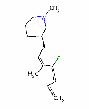 C=C/C=C(F)\C(C)=C/C[C@H]1CCCN(C)C1